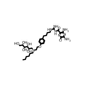 CCCCCCN(CCOc1ccc(CCCCNC(=N)NC(=O)c2nc(Cl)c(N)nc2N)cc1)C[C@@H](O)[C@@H](O)[C@@H](O)[C@@H](O)CO